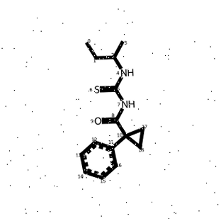 CCC(C)NC(=S)NC(=O)C1(c2ccccc2)CC1